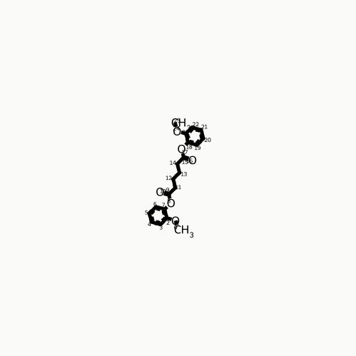 COc1ccccc1OC(=O)CCCCC(=O)Oc1ccccc1OC